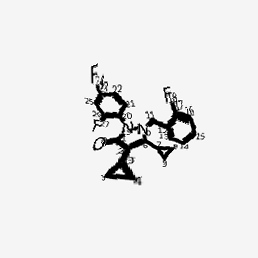 O=c1c(C2CC2)c(C2CC2)n(Cc2ccccc2F)n1-c1ccc(F)cc1F